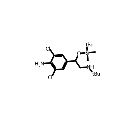 CC(C)(C)NCC(O[Si](C)(C)C(C)(C)C)c1cc(Cl)c(N)c(Cl)c1